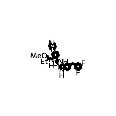 CC[C@@H](COC)Nc1cc(N2CCN(C)CC2)ccc1C(=O)Nc1n[nH]c2ccc(Cc3cc(F)cc(F)c3)cc12